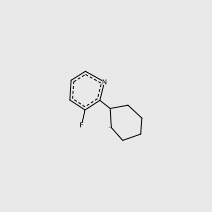 Fc1cccnc1C1[CH]CCCC1